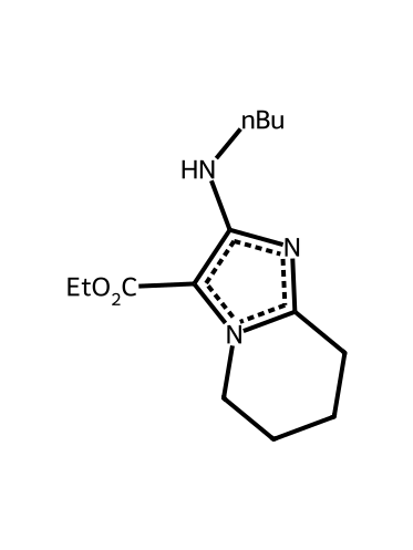 CCCCNc1nc2n(c1C(=O)OCC)CCCC2